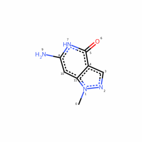 Cn1ncc2c(=O)[nH]c(N)cc21